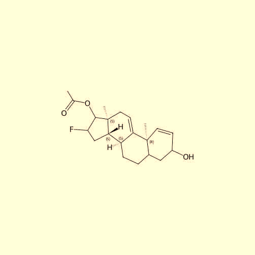 CC(=O)OC1C(F)C[C@H]2[C@@H]3CCC4CC(O)C=C[C@]4(C)C3=CC[C@]12C